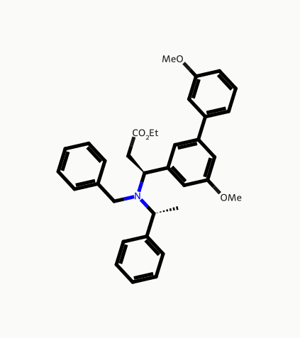 CCOC(=O)C[C@@H](c1cc(OC)cc(-c2cccc(OC)c2)c1)N(Cc1ccccc1)[C@H](C)c1ccccc1